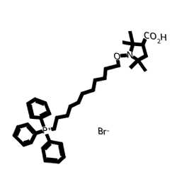 CC1(C)CC(C(=O)O)C(C)(C)N1OCCCCCCCCCCC[P+](c1ccccc1)(c1ccccc1)c1ccccc1.[Br-]